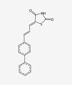 O=C1NC(=O)C(=CC=Cc2ccc(-c3ccccc3)cc2)S1